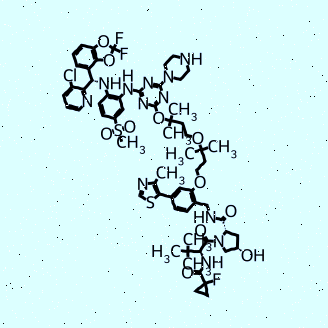 Cc1ncsc1-c1ccc(CNC(=O)[C@@H]2C[C@H](O)CN2C(=O)[C@@H](NC(=O)C2(F)CC2)C(C)(C)C)c(OCCC(C)(C)OCCC(C)(C)Oc2nc(Nc3cc(S(C)(=O)=O)ccc3N[C@@H](c3cccc4c3OC(F)(F)O4)c3ncccc3Cl)nc(N3CCNCC3)n2)c1